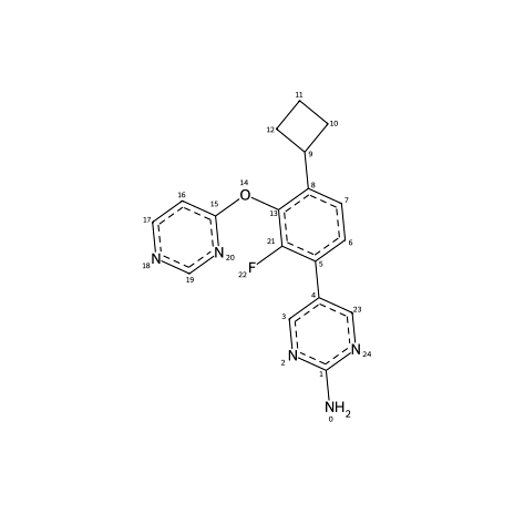 Nc1ncc(-c2ccc(C3CCC3)c(Oc3ccncn3)c2F)cn1